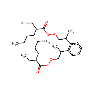 CCCCC(CC)C(=O)OOCC(C)c1ccccc1C(C)COOC(=O)C(CC)CCCC